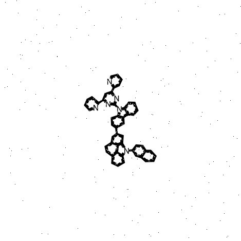 c1ccc(-c2cc(-c3ccccn3)nc(-n3c4ccccc4c4cc(-c5cc6ccc7cccc8c7c6c(c5)n8-c5ccc6ccccc6c5)ccc43)n2)nc1